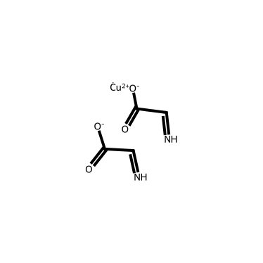 N=CC(=O)[O-].N=CC(=O)[O-].[Cu+2]